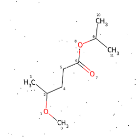 COC(C)CCC(=O)OC(C)C